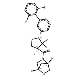 CC1(C)[C@@H](c2cnnc(-c3c(F)cccc3F)c2)CC[C@]1(C)C(=O)N1C[C@@H]2C[C@H]1CO2